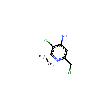 CC(=O)O.Nc1cc(CCl)ncc1Cl